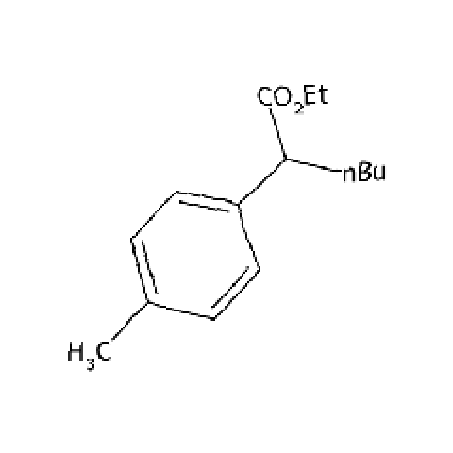 CCCCC(C(=O)OCC)c1ccc(C)cc1